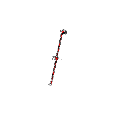 CSC(C(CO)OCCOCCOCCOCCOCCOCCOCCOCCOCCOCCOCCOCCOCCOCCOCCOCCOCCOCCOCCO)C(COCCS)OCCOCCOCCOCCOCCOCCOCCOCCOCCOCCOCCOCCOCCOCCOCCOCCOCCOCCOCCOC(CCS)(OCCO)C(O)(CCS)C(CO)OCCO